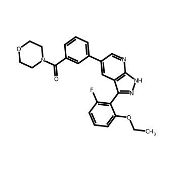 CCOc1cccc(F)c1-c1n[nH]c2ncc(-c3cccc(C(=O)N4CCOCC4)c3)cc12